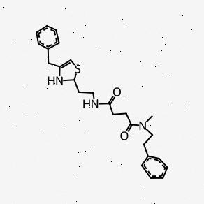 CN(CCc1ccccc1)C(=O)CCC(=O)NCCC1NC(Cc2ccccc2)=CS1